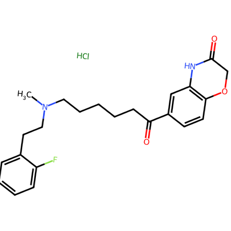 CN(CCCCCC(=O)c1ccc2c(c1)NC(=O)CO2)CCc1ccccc1F.Cl